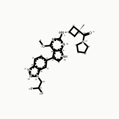 COc1nc(N[C@H]2C[C@](C)(C(=O)N3CCCC3)C2)nc2[nH]cc(-c3ccc4nnn(CC(F)F)c4c3)c12